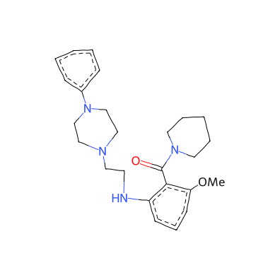 COc1cccc(NCCN2CCN(c3ccccc3)CC2)c1C(=O)N1CCCCC1